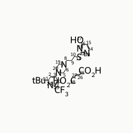 CC(C)(C)c1cc(N2CCN(CCCSc3nccc(O)n3)CC2)cc(C(F)(F)F)n1.O=C(O)/C=C/C(=O)O